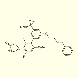 COc1cc(F)c([C@@H]2CNC(=O)C2)c(F)c1-c1cc(OCCCCc2ccccc2)cc(C2(NC(C)=O)CC2)c1